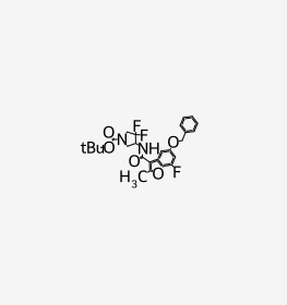 Cc1oc2c(F)cc(OCc3ccccc3)cc2c1C(=O)NC1CN(C(=O)OC(C)(C)C)CC1(F)F